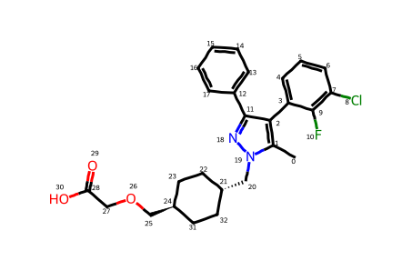 Cc1c(-c2cccc(Cl)c2F)c(-c2ccccc2)nn1C[C@H]1CC[C@H](COCC(=O)O)CC1